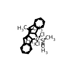 CCC1=Cc2ccccc2[CH]1[Zr]([Cl])([Cl])([CH]1C(C(C)C)=Cc2ccccc21)[SiH](C)C